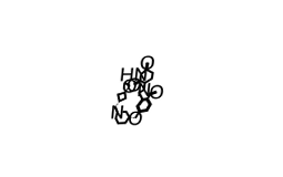 CO[C@H]1C[C@H](CN2CCC[C@@H](Oc3ccc4c(c3)CN(C3CCC(=O)NC3=O)C4=O)C2)C1